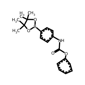 CC1(C)OB(c2ccc(NC(=O)Oc3ccccc3)cc2)OC1(C)C